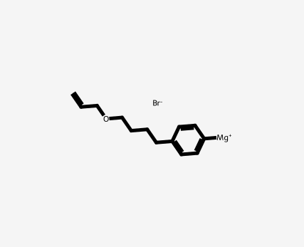 C=CCOCCCCc1cc[c]([Mg+])cc1.[Br-]